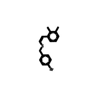 Cc1cccc(/C=C\SCc2ccc(Br)cc2)c1C